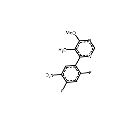 COc1ncnc(-c2cc([N+](=O)[O-])c(F)cc2F)c1C